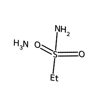 CCS(N)(=O)=O.N